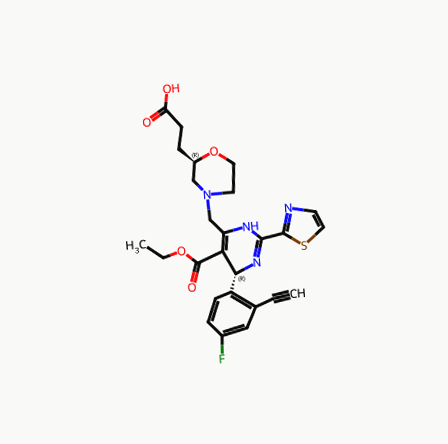 C#Cc1cc(F)ccc1[C@H]1N=C(c2nccs2)NC(CN2CCO[C@H](CCC(=O)O)C2)=C1C(=O)OCC